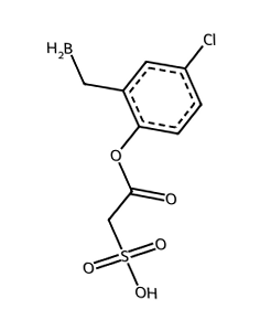 BCc1cc(Cl)ccc1OC(=O)CS(=O)(=O)O